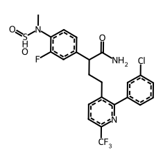 CN(c1ccc(C(CCc2ccc(C(F)(F)F)nc2-c2cccc(Cl)c2)C(N)=O)cc1F)[SH](=O)=O